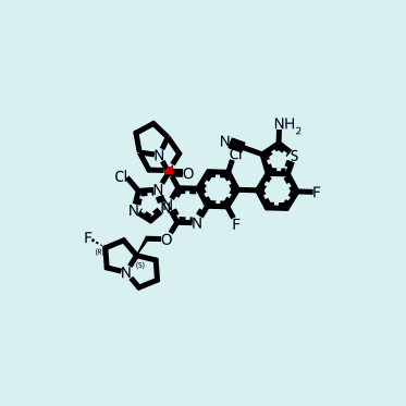 N#Cc1c(N)sc2c(F)ccc(-c3c(Cl)cc4c(N5CC6CCC(C5)N6C(=O)n5ncnc5Cl)nc(OC[C@@]56CCCN5C[C@H](F)C6)nc4c3F)c12